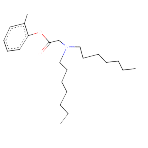 CCCCCCCN(CCCCCCC)CC(=O)Oc1ccccc1C